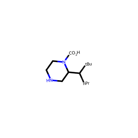 CCCC(C1CNCCN1C(=O)O)C(C)(C)C